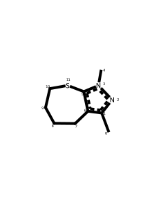 Cc1nn(C)c2c1CCCCS2